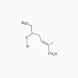 CC(=O)OCC(CC=C(C)C(=O)O)SC(C)=O